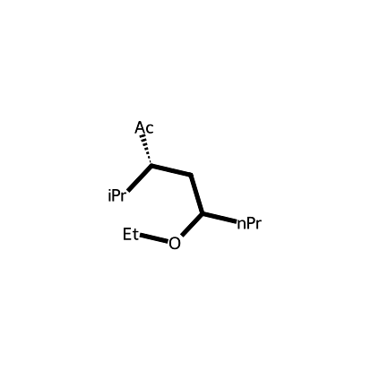 CCCC(C[C@@H](C(C)=O)C(C)C)OCC